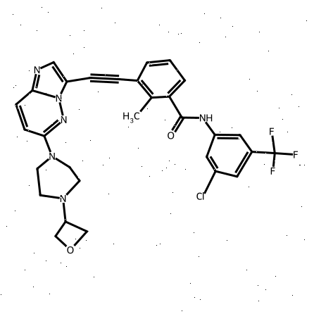 Cc1c(C#Cc2cnc3ccc(N4CCN(C5COC5)CC4)nn23)cccc1C(=O)Nc1cc(Cl)cc(C(F)(F)F)c1